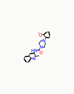 COc1ccccc1N1CCN(C(=O)Nc2cc3ccccc3nc2C)CC1